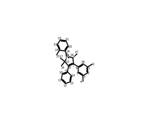 Cc1cc(C)cc(C2=C(c3ccccc3)C(C)(C)N(c3ccccc3C)[C@H]2C)c1